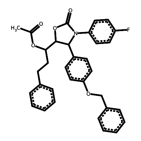 CC(=O)OC(CCc1ccccc1)C1OC(=O)N(c2ccc(F)cc2)C1c1ccc(OCc2ccccc2)cc1